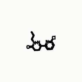 CCCN1N=C(c2cccc(Cl)n2)CCC1=O